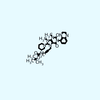 CC#CCN1c2c(n(C)c(=O)n(-c3cccc4nccnc34)c2=O)N(C)C1N1CCC[C@@H](NC(=O)OC(C)(C)C)C1